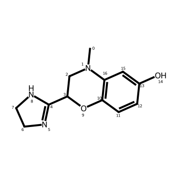 CN1CC(C2=NCCN2)Oc2ccc(O)cc21